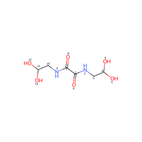 O=C(NCC(O)O)C(=O)NCC(O)O